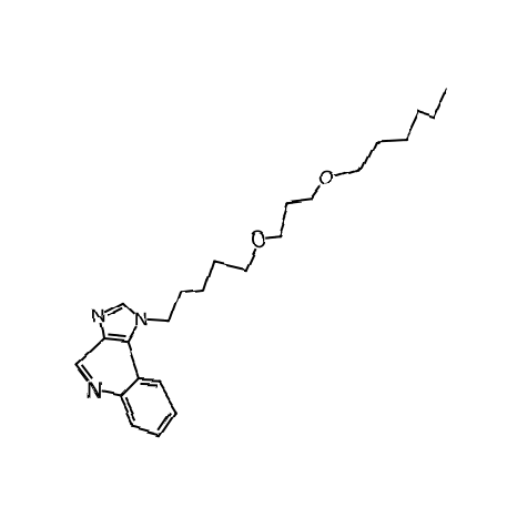 CCCCCCOCCCOCCCCCn1cnc2cnc3ccccc3c21